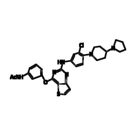 CC(=O)Nc1cccc(Oc2nc(Nc3ccc(N4CCC(N5CCCC5)CC4)c(Cl)c3)nc3ccsc23)c1